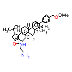 C=C(C)[C@@H]1CC[C@]2(C(=O)NCCN)CC[C@]3(C)[C@H](CC[C@@H]4[C@@]5(C)CC=C(c6ccc(COOC)cc6)C(C)(C)[C@@H]5CC[C@]43C)[C@@H]12